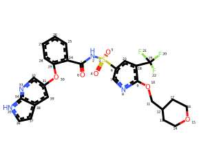 O=C(NS(=O)(=O)c1cnc(OCC2CCOCC2)c(C(F)(F)F)c1)c1ccccc1Oc1cnc2[nH]ccc2c1